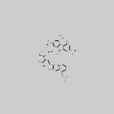 CC[C@@]1(OC(=O)[C@H](C)O/N=C2/c3cc([N+](=O)[O-])cc(C)c3-c3c2cc([N+](=O)[O-])cc3[N+](=O)[O-])C(=O)OCc2c1cc1n(c2=O)Cc2cc3c(CN(C)C)c(O)ccc3nc2-1